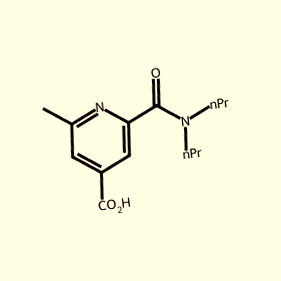 CCCN(CCC)C(=O)c1cc(C(=O)O)cc(C)n1